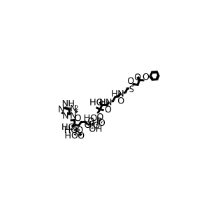 CC(C)(COP(=O)(O)OP(=O)(O)OCC1OC(C)(n2cnc3c(N)ncnc32)C(O)C1OP(=O)(O)O)C(O)C(=O)NCCC(=O)NCCSC(=O)CC(=O)COc1ccccc1